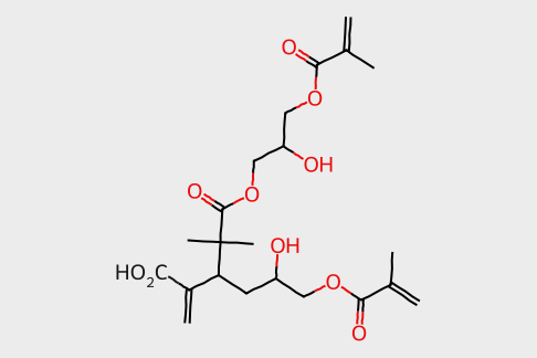 C=C(C)C(=O)OCC(O)COC(=O)C(C)(C)C(CC(O)COC(=O)C(=C)C)C(=C)C(=O)O